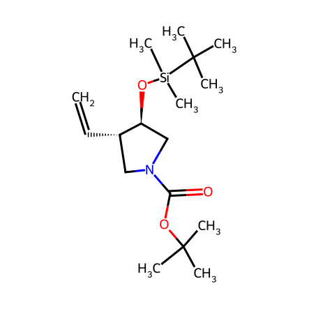 C=C[C@H]1CN(C(=O)OC(C)(C)C)C[C@@H]1O[Si](C)(C)C(C)(C)C